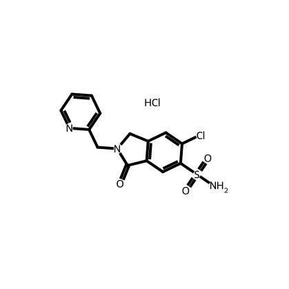 Cl.NS(=O)(=O)c1cc2c(cc1Cl)CN(Cc1ccccn1)C2=O